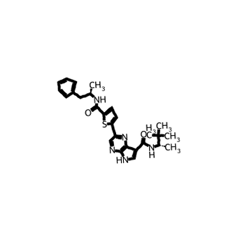 C[C@H](Cc1ccccc1)NC(=O)c1ccc(-c2cnc3[nH]cc(C(=O)N[C@@H](C)C(C)(C)C)c3n2)s1